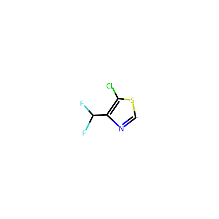 FC(F)c1n[c]sc1Cl